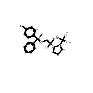 [2H]C([2H])(CO[C@](C)(c1ccccc1)c1ccc(Cl)cc1)[C@H]1CCCN1C([2H])([2H])[2H]